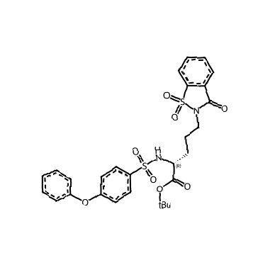 CC(C)(C)OC(=O)[C@@H](CCCN1C(=O)c2ccccc2S1(=O)=O)NS(=O)(=O)c1ccc(Oc2ccccc2)cc1